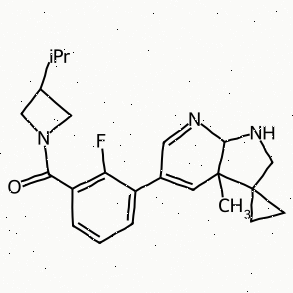 CC(C)C1CN(C(=O)c2cccc(C3=CC4(C)C(N=C3)NCC43CC3)c2F)C1